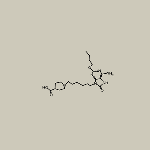 CCCCOc1nc(N)c2[nH]c(=O)n(CCCCCCN3CCC(C(=O)O)CC3)c2n1